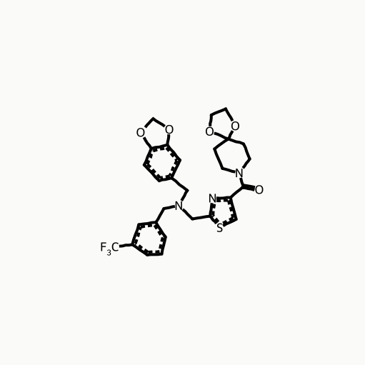 O=C(c1csc(CN(Cc2cccc(C(F)(F)F)c2)Cc2ccc3c(c2)OCO3)n1)N1CCC2(CC1)OCCO2